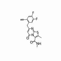 C#Cc1cc(F)c(F)cc1Cc1cc(=O)n2c(C(=O)NC)c(C)sc2n1